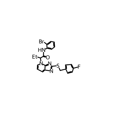 CCC(C(=O)Nc1ccccc1Br)n1cccc2nc(SCc3ccc(F)cc3)nc1-2